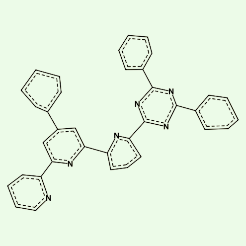 c1ccc(-c2cc(-c3ccccn3)nc(-c3cccc(-c4nc(-c5ccccc5)nc(-c5ccccc5)n4)n3)c2)cc1